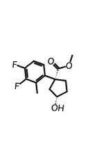 COC(=O)[C@]1(c2ccc(F)c(F)c2C)CC[C@H](O)C1